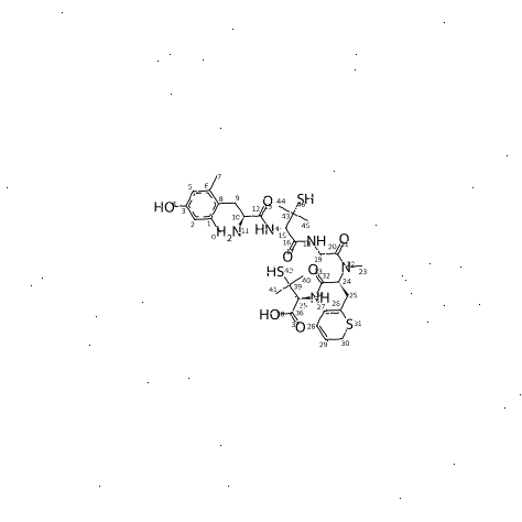 Cc1cc(O)cc(C)c1C[C@H](N)C(=O)N[C@@H](C(=O)NCC(=O)N(C)[C@@H](CC1=CC=CCS1)C(=O)N[C@@H](C(=O)O)C(C)(C)S)C(C)(C)S